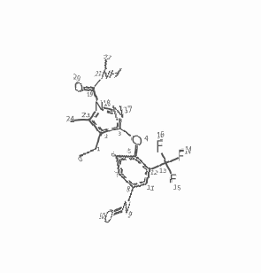 CCc1c(Oc2ccc(N=O)cc2C(F)(F)F)nn(C(=O)NC)c1C